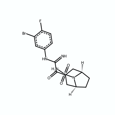 N=C(Nc1ccc(F)c(Br)c1)C(=O)C1C[C@H]2CC[C@@H](C1)N2S(N)(=O)=O